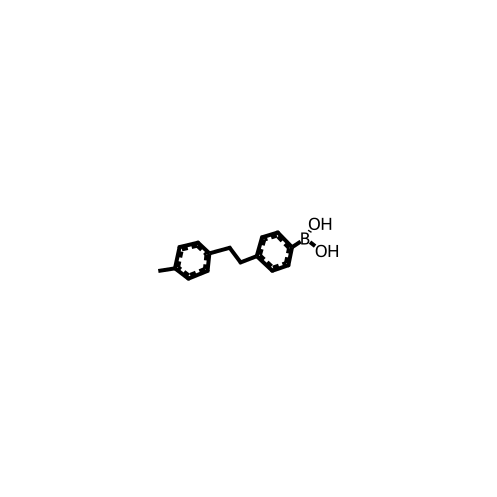 Cc1ccc(CCc2ccc(B(O)O)cc2)cc1